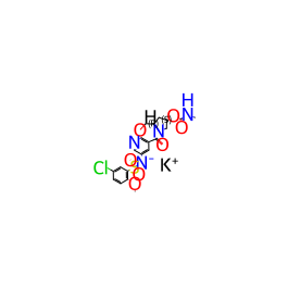 CNC(=O)O[C@H]1C[C@@H]2COc3ncc([N-]S(=O)(=O)c4cc(Cl)ccc4OC)cc3C(=O)N2C1.[K+]